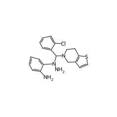 Nc1ccccc1N(N)C(c1ccccc1Cl)N1CCc2sccc2C1